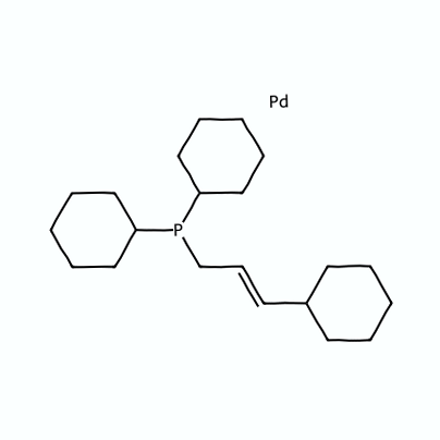 C(=CC1CCCCC1)CP(C1CCCCC1)C1CCCCC1.[Pd]